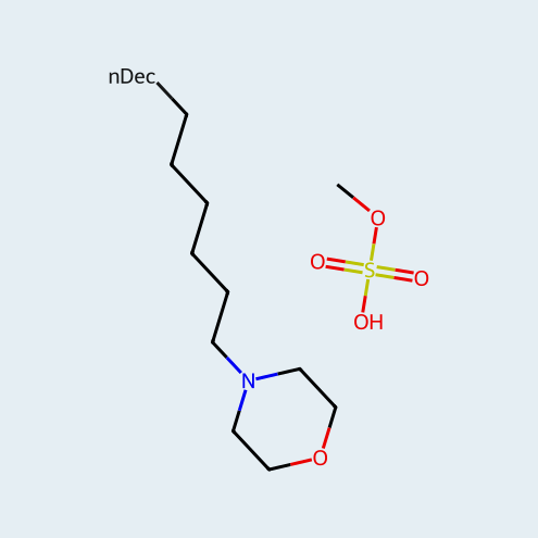 CCCCCCCCCCCCCCCCN1CCOCC1.COS(=O)(=O)O